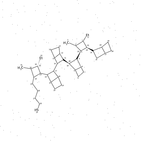 CCC1C(C)[C@H](C2C3CCC3[C@H]2C2C3CCC3C2C2C3CCC3C2C2C(CCCCS)C(C)[C@@H]2CC)[C@@H]1C1CC2CCC21